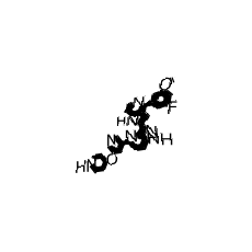 COc1cc(F)cc(-c2nccc3[nH]c(-c4n[nH]c5ccc(-c6cncc(OC7CCNCC7)c6)nc45)cc23)c1